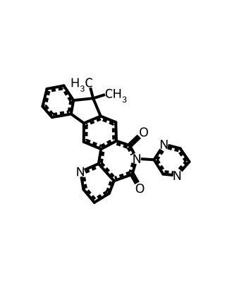 CC1(C)c2ccccc2-c2cc3c(cc21)c(=O)n(-c1cnccn1)c(=O)c1cccnc13